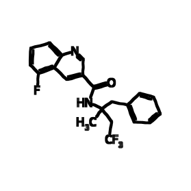 CC(Cc1ccccc1)(CC(F)(F)F)NC(=O)c1cnc2cccc(F)c2c1